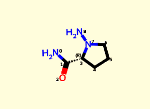 NC(=O)[C@H]1CCCN1N